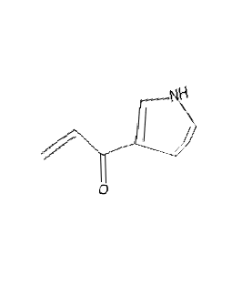 C=CC(=O)c1cc[nH]c1